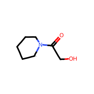 O=C(CO)N1[CH]CCCC1